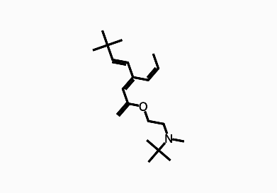 C=C(/C=C(\C=C/C)/C=C/C(C)(C)C)OCCN(C)C(C)(C)C